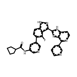 O=C(Nc1cncc(-c2ccc3[nH]nc(-c4nc5c(-c6cccnc6)nccc5[nH]4)c3c2F)c1)C1CCCC1